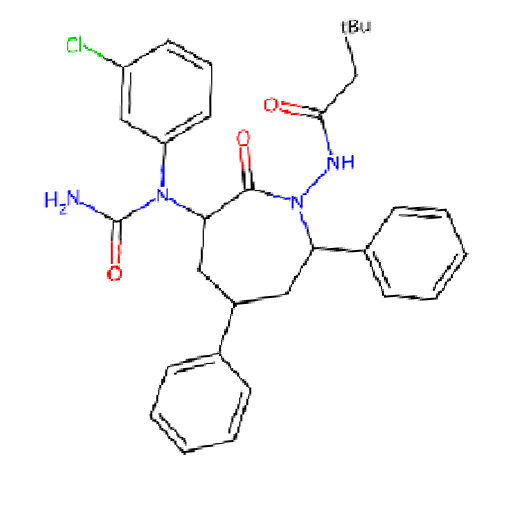 CC(C)(C)CC(=O)NN1C(=O)C(N(C(N)=O)c2cccc(Cl)c2)CC(c2ccccc2)CC1c1ccccc1